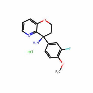 Cl.N[C@]1(c2ccc(OC(F)(F)F)c(F)c2)CCOc2cccnc21